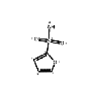 [NH]S(=O)(=O)c1ccco1